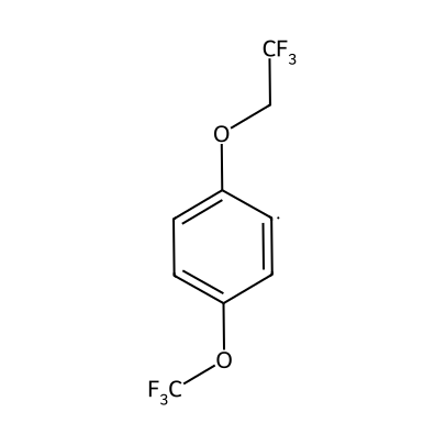 FC(F)(F)COc1[c]cc(OC(F)(F)F)cc1